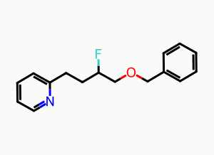 FC(CCc1ccccn1)COCc1ccccc1